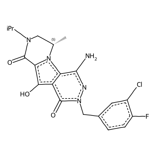 CC(C)N1C[C@H](C)n2c(c(O)c3c(=O)n(Cc4ccc(F)c(Cl)c4)nc(N)c32)C1=O